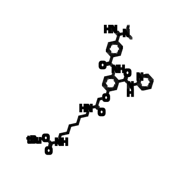 CN(C)C(=N)c1ccc(C(=O)Nc2ccc(OCC(=O)NCCCCCCNC(=O)OC(C)(C)C)cc2C(=O)Nc2ccccn2)cc1